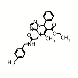 CCOC(=O)C1=C(C)N(CC(=O)NCc2ccc(C)cc2)c2ncnn2C1c1ccccc1